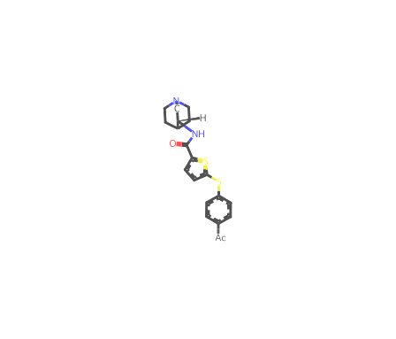 CC(=O)c1ccc(Sc2ccc(C(=O)N[C@H]3CN4CCC3CC4)s2)cc1